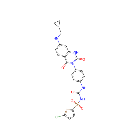 O=C(Nc1ccc(-n2c(=O)[nH]c3cc(NCC4CC4)ccc3c2=O)cc1)NS(=O)(=O)c1ccc(Cl)s1